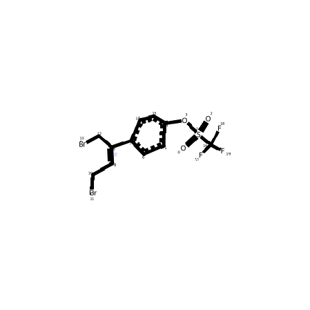 O=S(=O)(Oc1ccc(/C(=C/CBr)CBr)cc1)C(F)(F)F